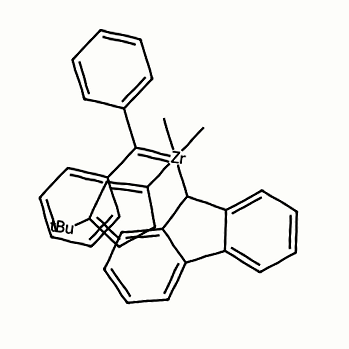 CC(C)(C)C1=CC[C]([Zr]([CH3])([CH3])(=[C](c2ccccc2)c2ccccc2)[CH]2c3ccccc3-c3ccccc32)=C1